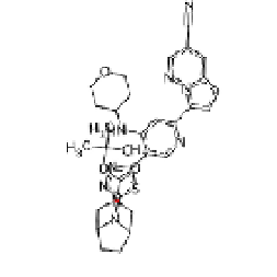 CC(C)(C)OC(=O)N1CC2CCC(C1)N2c1nnc(-c2cnc(-c3ccc4cc(C#N)cnn34)cc2NC2CCOCC2)s1